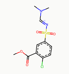 COC(=O)c1cc(S(=O)(=O)/N=C/N(C)C)ccc1Cl